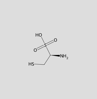 N[C@@H](CS)S(=O)(=O)O